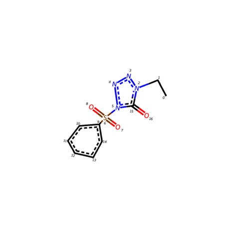 CCn1nnn(S(=O)(=O)c2ccccc2)c1=O